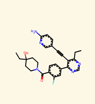 CCc1ncnc(-c2ccc(C(=O)N3CCC(O)(CC)CC3)c(F)c2)c1C#Cc1ccc(N)nc1